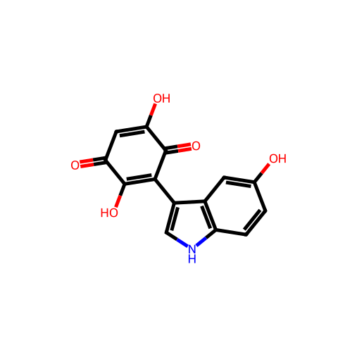 O=C1C=C(O)C(=O)C(c2c[nH]c3ccc(O)cc23)=C1O